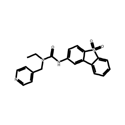 CCN(Cc1ccncc1)C(=O)Nc1ccc2c(c1)-c1ccccc1S2(=O)=O